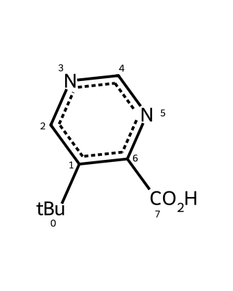 CC(C)(C)c1cncnc1C(=O)O